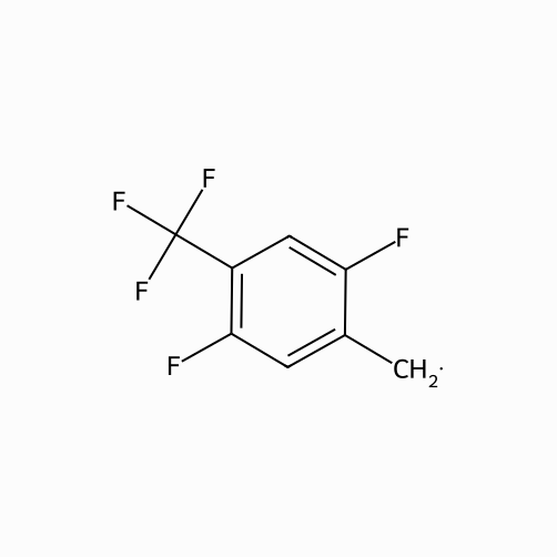 [CH2]c1cc(F)c(C(F)(F)F)cc1F